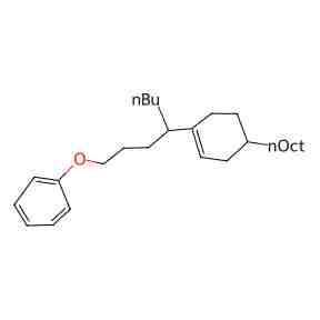 CCCCCCCCC1CC=C(C(CCCC)CCCOc2ccccc2)CC1